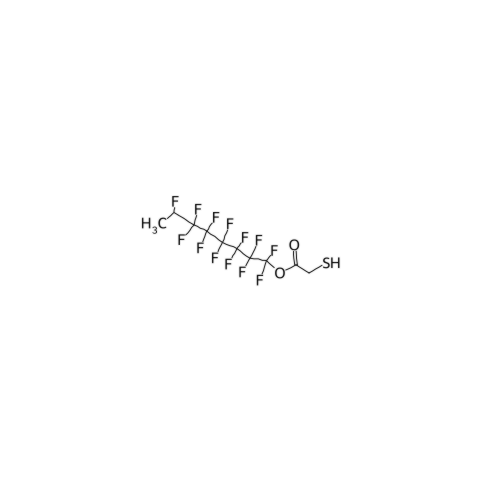 CC(F)C(F)(F)C(F)(F)C(F)(F)C(F)(F)C(F)(F)C(F)(F)OC(=O)CS